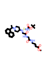 COC(=O)/C=C/CNC(=O)CNC(=O)CN(SNC(=O)OC(C)(C)C)C1CCN(C(C)c2cccc3ccccc23)CC1